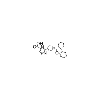 Cc1cc(C(=O)O)nc(N2CC[C@H](COc3ccccc3C3CCCCC3)C2)n1